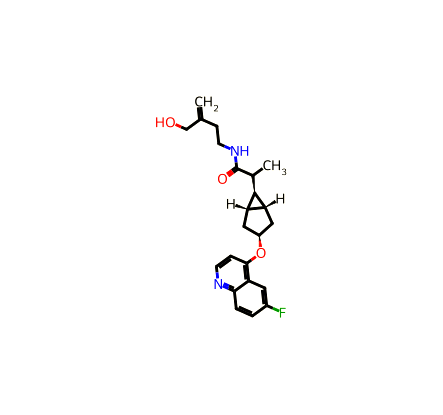 C=C(CO)CCNC(=O)C(C)[C@H]1[C@@H]2C[C@@H](Oc3ccnc4ccc(F)cc34)C[C@@H]21